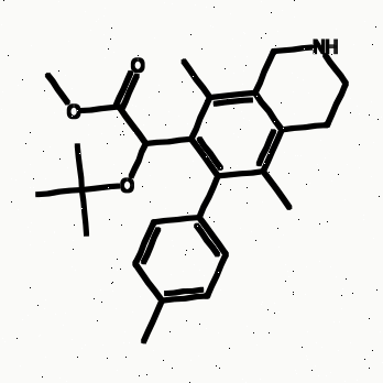 COC(=O)C(OC(C)(C)C)c1c(C)c2c(c(C)c1-c1ccc(C)cc1)CCNC2